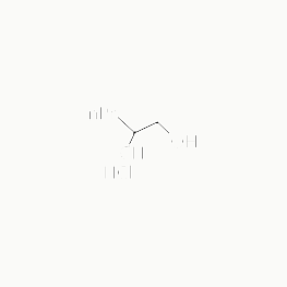 CCCC(C)CO.Cl